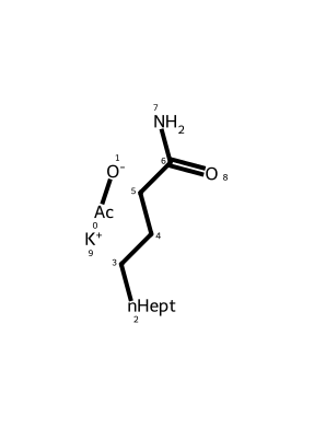 CC(=O)[O-].CCCCCCCCCCC(N)=O.[K+]